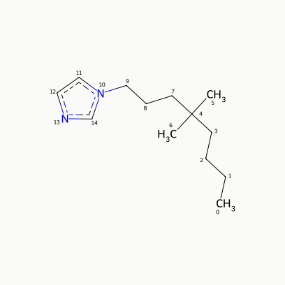 CCCCC(C)(C)CCCn1ccnc1